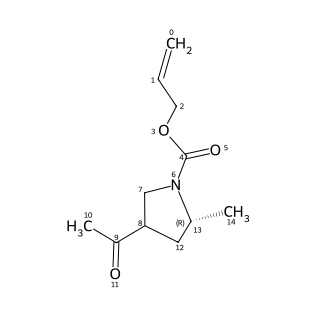 C=CCOC(=O)N1CC(C(C)=O)C[C@H]1C